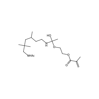 C=C(C)C(=O)OCCOC(C)(O)NCCC(C)CC(C)(C)CNC(C)=O